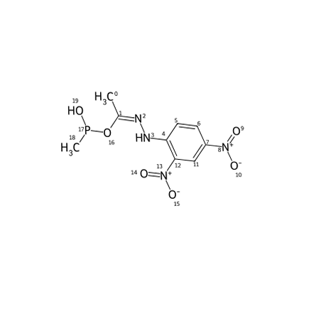 CC(=NNc1ccc([N+](=O)[O-])cc1[N+](=O)[O-])OP(C)O